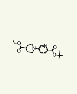 CCOC(=O)C1CCN(c2ccc(C(=O)OC(C)(C)C)nc2)CC1